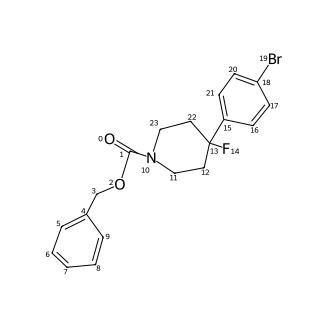 O=C(OCc1ccccc1)N1CCC(F)(c2ccc(Br)cc2)CC1